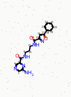 Nc1cncc(C(=O)NCCCNC(=O)c2cc(-c3ccccc3)on2)n1